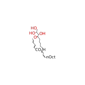 C/C=C/C=C/C(=O)O.CCCCCCCC/C=C\CCCCCCCC(=O)C(O)C(O)CO